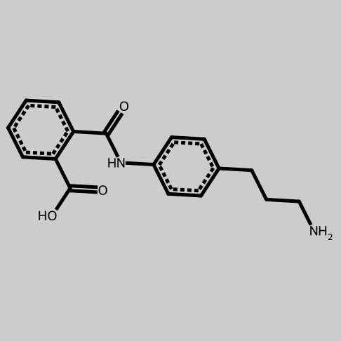 NCCCc1ccc(NC(=O)c2ccccc2C(=O)O)cc1